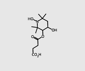 CC1(C)CC(O)C(OC(=O)CCC(=O)O)C(C)(C)N1O